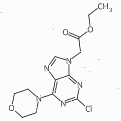 CCOC(=O)Cn1cnc2c(N3CCOCC3)nc(Cl)nc21